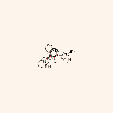 CC(C)ON=C(C(=O)O)c1nc2ccccc2n([C@@H]2CC3CCC[C@H](C2)N3C2CC3CCCCC(C3)C2)c1=O